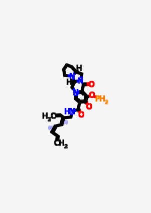 C=C/C=C\C=C(/C=C)CNC(=O)c1cn2c(c(OP)c1=O)C(=O)N1C[C@H]3CCCCN3[C@H]1C2